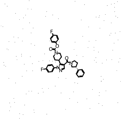 O=C(Oc1ccc(F)cc1)N1CCC(c2c(C(=O)N3CC[C@H](c4ccccc4)C3)cnn2-c2ccc(F)cc2)CC1